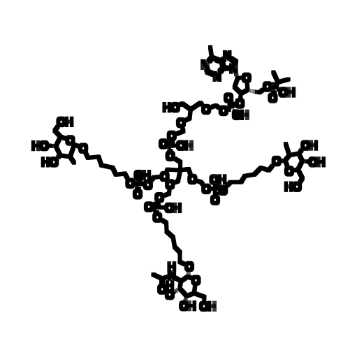 CC(=O)NC1[C@H](OCCCCCCOP(=O)(O)OCOCC(COCOP(=O)(O)OCCCCCCO[C@@H]2OC(CO)[C@H](O)[C@H](O)C2C)(COCOP(=O)(O)OCCCCCCO[C@@H]2OC(CO)[C@H](O)[C@H](O)C2C)COP(=O)(O)OCOCC(CO)COCOP(=O)(O)O[C@H]2C[C@H](n3cnc4c(C)ncnc43)O[C@@H]2COP(=O)(O)C(C)C)OC(CO)[C@H](O)[C@@H]1O